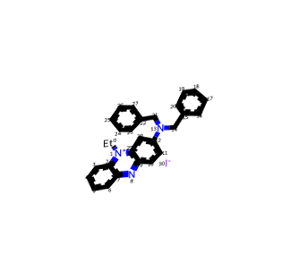 CC[n+]1c2ccccc2nc2ccc(N(Cc3ccccc3)Cc3ccccc3)cc21.[I-]